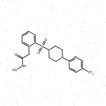 O=C(Cc1ccccc1S(=O)(=O)N1CCN(c2ccc(C(F)(F)F)cn2)CC1)NO